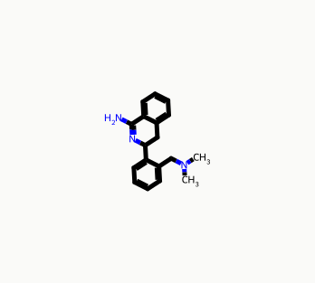 CN(C)Cc1ccccc1C1Cc2ccccc2C(N)=N1